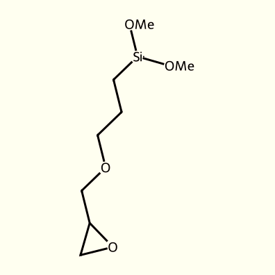 CO[Si](CCCOCC1CO1)OC